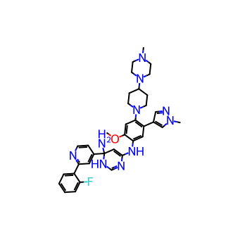 COc1cc(N2CCC(N3CCN(C)CC3)CC2)c(-c2cnn(C)c2)cc1NC1=CC(N)(c2ccnc(-c3ccccc3F)c2)NC=N1